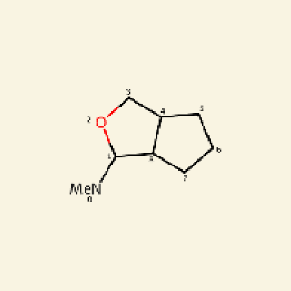 CNC1OCC2CCCC21